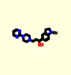 CC(=O)N1CCc2cc(C(O)CCN3CCN(c4ncccn4)CC3)ccc21